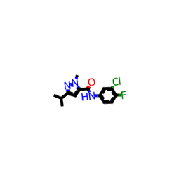 CC(C)c1cc(C(=O)Nc2ccc(F)c(Cl)c2)n(C)n1